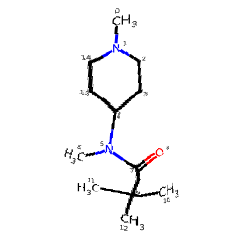 CN1CCC(N(C)C(=O)C(C)(C)C)CC1